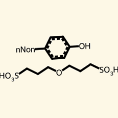 CCCCCCCCCc1ccc(O)cc1.O=S(=O)(O)CCCOCCCS(=O)(=O)O